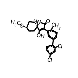 CO[C@H]1CC[C@]2(CC1)NC(=O)C(c1cc(-c3ccc(Cl)cc3Cl)ccc1C)=C2O